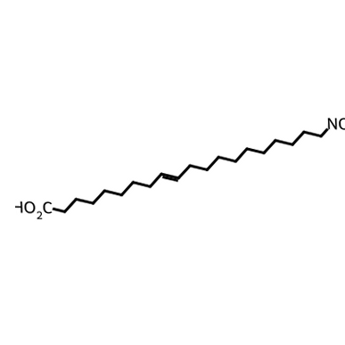 O=C(O)CCCCCCC/C=C/CCCCCCCCCC[N+](=O)[O-]